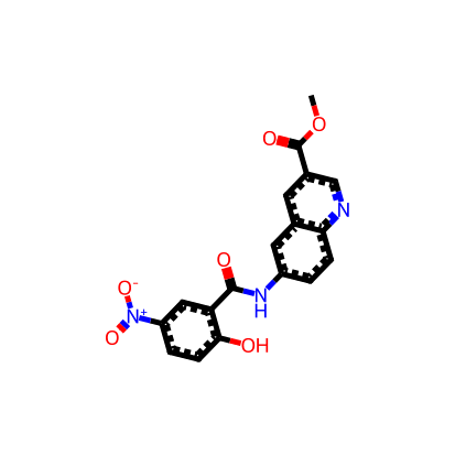 COC(=O)c1cnc2ccc(NC(=O)c3cc([N+](=O)[O-])ccc3O)cc2c1